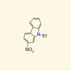 CCn1c2ccccc2c2ccc([N+](=O)[O-])cc21